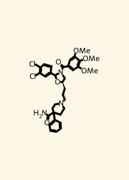 COc1cc(C(=O)N2C[C@@H](CCCN3CCC(C(N)=O)(c4ccccc4)CC3)OC2c2ccc(Cl)c(Cl)c2)cc(OC)c1OC